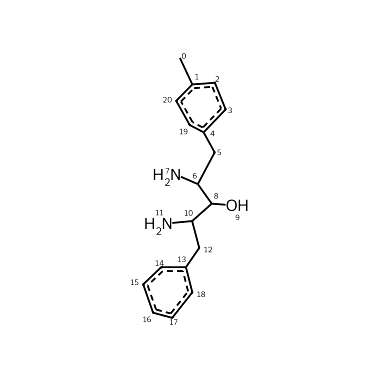 Cc1ccc(CC(N)C(O)C(N)Cc2ccccc2)cc1